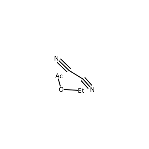 CCOC(C)=O.N#CC#N